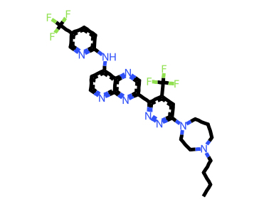 CCCCN1CCCN(c2cc(C(F)(F)F)c(-c3cnc4c(Nc5ccc(C(F)(F)F)cn5)ccnc4n3)nn2)CC1